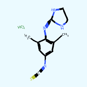 Cc1cc(N=C=S)cc(C)c1N=C1NCCN1.Cl